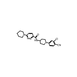 N#Cc1ccc(N2CCC(NC(=O)c3ccc(N4CC[CH]CC4)nn3)CC2)cc1Cl